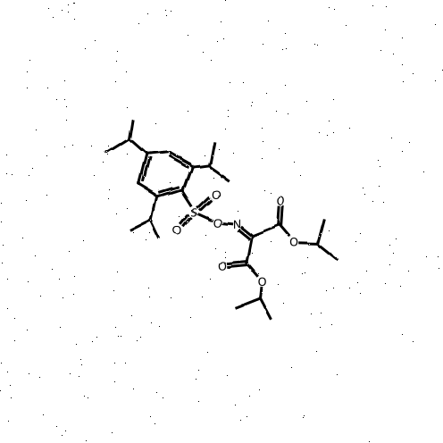 CC(C)OC(=O)C(=NOS(=O)(=O)c1c(C(C)C)cc(C(C)C)cc1C(C)C)C(=O)OC(C)C